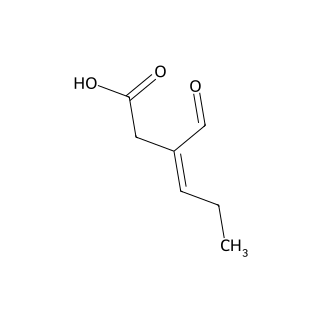 CC/C=C(\C=O)CC(=O)O